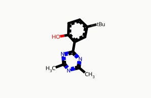 Cc1nc(C)nc(-c2cc(C(C)(C)C)ccc2O)n1